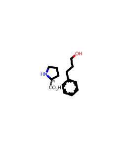 O=C(O)[C@@H]1CCCN1.OCCCc1ccccc1